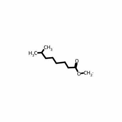 [CH2]OC(=O)CCCCCC(C)C